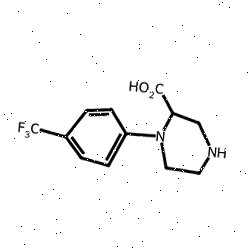 O=C(O)C1CNCCN1c1ccc(C(F)(F)F)cc1